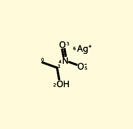 CCO.O=N[O-].[Ag+]